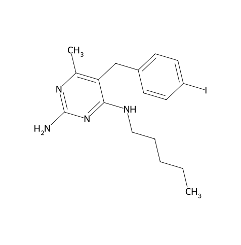 CCCCCNc1nc(N)nc(C)c1Cc1ccc(I)cc1